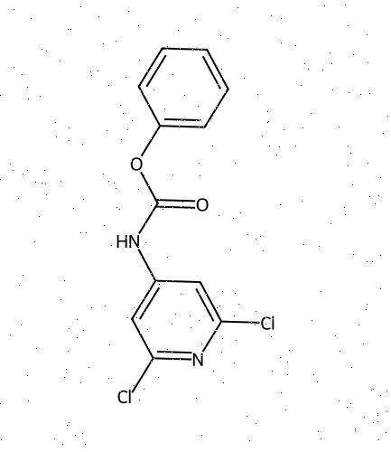 O=C(Nc1cc(Cl)nc(Cl)c1)Oc1ccccc1